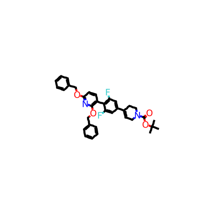 CC(C)(C)OC(=O)N1CC=C(c2cc(F)c(-c3ccc(OCc4ccccc4)nc3OCc3ccccc3)c(F)c2)CC1